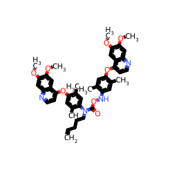 C=CCCCN(C(=O)ONc1cc(C)c(Oc2ccnc3cc(OC)c(OC)cc23)cc1C)c1cc(C)c(Oc2ccnc3cc(OC)c(OC)cc23)cc1C